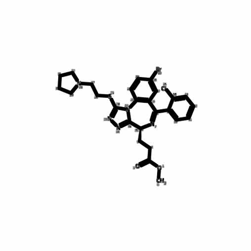 COC(=O)CC[C@@H]1N=C(c2ccccc2Cl)c2cc(Br)ccc2-n2c(SCCN3CCCC3)nnc21